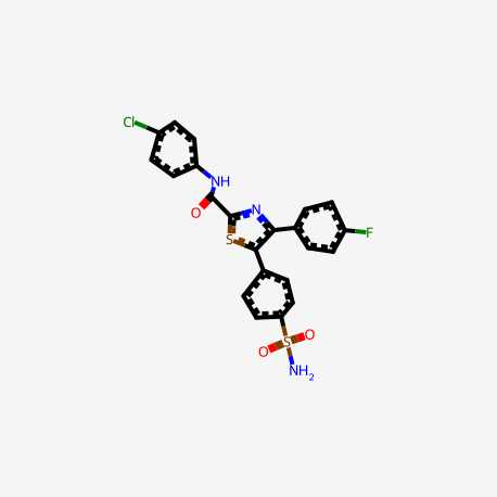 NS(=O)(=O)c1ccc(-c2sc(C(=O)Nc3ccc(Cl)cc3)nc2-c2ccc(F)cc2)cc1